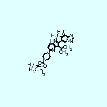 Cc1c(-c2[nH]c3ccc(N4CCN(C(=O)OC(C)(C)C)CC4)nc3c2C(C)C)cn2ncnc2c1C